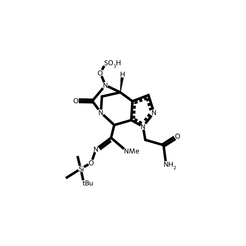 CN/C(=N\O[Si](C)(C)C(C)(C)C)C1c2c(cnn2CC(N)=O)[C@@H]2CN1C(=O)N2OS(=O)(=O)O